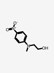 CN(CCO)c1ccc([N+](=O)[O-])cc1